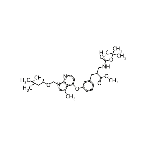 COC(=O)C(CNC(=O)OC(C)(C)C)Cc1cccc(Oc2ccnc3c2c(C)cn3COCCS(C)(C)C)c1